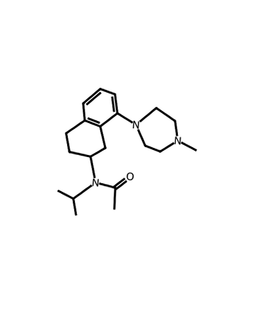 CC(=O)N(C(C)C)C1CCc2cccc(N3CCN(C)CC3)c2C1